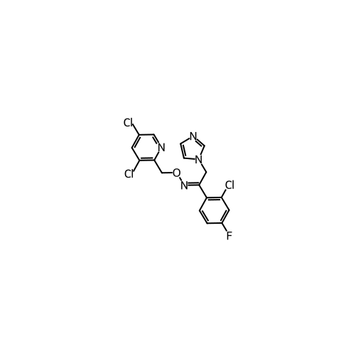 Fc1ccc(/C(Cn2ccnc2)=N/OCc2ncc(Cl)cc2Cl)c(Cl)c1